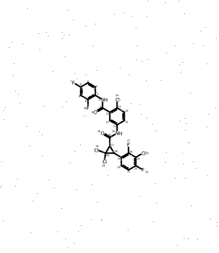 O=C(Nc1ccc(F)cc1F)c1cc(NC(=O)C2C(c3ccc(F)c(Cl)c3F)C2(Cl)Cl)ccc1Cl